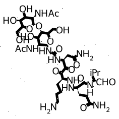 CC(=O)N[C@H]1C(O)[C@H](O)C(CO)O[C@H]1O[C@@H]1C(CO)O[C@@H](NC(=O)N[C@@H](CC(N)=O)C(=O)C(=O)[C@H](CCCCN)NN[C@@H](CCC(N)=O)C(=O)N[C@H](C=O)C(C)C)[C@@H](NC(C)=O)C1O